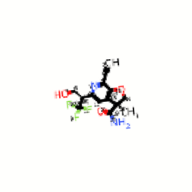 C#Cc1nc([C@H](CO)C(F)(F)F)cc2c1OC[C@]2(C)C(N)=O